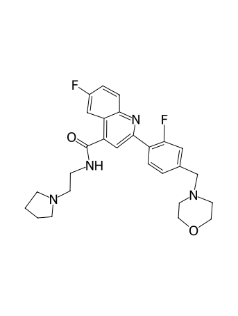 O=C(NCCN1CCCC1)c1cc(-c2ccc(CN3CCOCC3)cc2F)nc2ccc(F)cc12